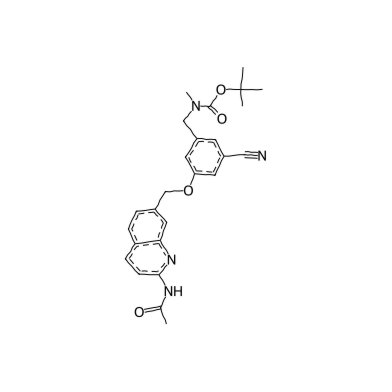 CC(=O)Nc1ccc2ccc(COc3cc(C#N)cc(CN(C)C(=O)OC(C)(C)C)c3)cc2n1